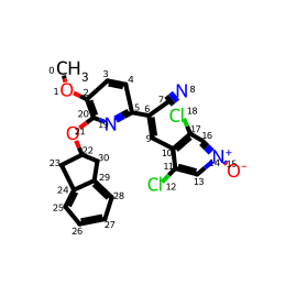 COc1ccc(C(C#N)=Cc2c(Cl)c[n+]([O-])cc2Cl)nc1OC1Cc2ccccc2C1